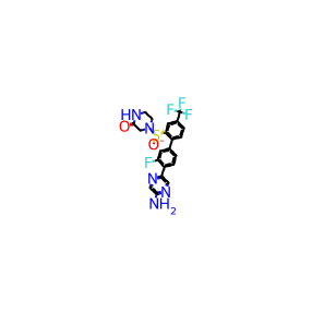 Nc1cnc(-c2ccc(-c3ccc(C(F)(F)F)cc3[S+]([O-])N3CCNC(=O)C3)cc2F)cn1